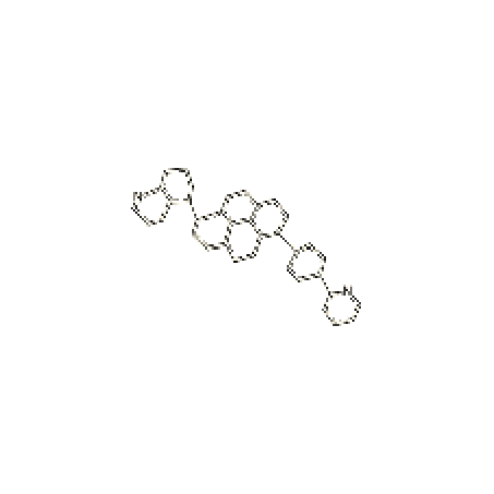 c1ccc(-c2ccc(-c3ccc4ccc5c(-c6cccc7ncccc67)ccc6ccc3c4c65)cc2)nc1